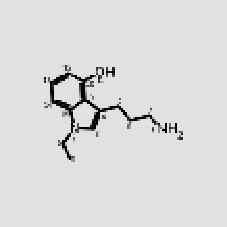 CCn1cc(CCCN)c2c(O)cccc21